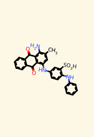 Cc1cc(Nc2ccc(Nc3ccccc3)c(S(=O)(=O)O)c2)c2c(c1N)C(=O)c1ccccc1C2=O